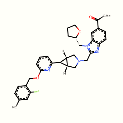 COC(=O)c1ccc2nc(CN3C[C@@H]4C(c5cccc(OCc6ccc(C#N)cc6F)n5)[C@@H]4C3)n(C[C@@H]3CCCO3)c2c1